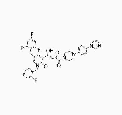 O=C(C=C(O)c1cc(Cc2c(F)cc(F)cc2F)cn(Cc2ccccc2F)c1=O)C(=O)N1CCN(c2ccc(-n3ccnc3)cc2)CC1